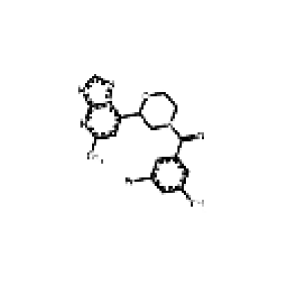 Cc1cc(Br)cc(C(=O)N2CCOC(c3cc(C)nc4ncnn34)C2)c1